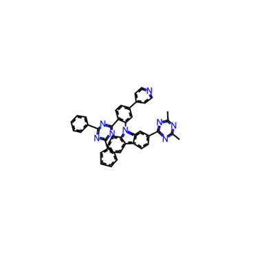 Cc1nc(C)nc(-c2ccc3c4ccccc4n(-c4cc(-c5ccncc5)ccc4-c4nc(-c5ccccc5)nc(-c5ccccc5)n4)c3c2)n1